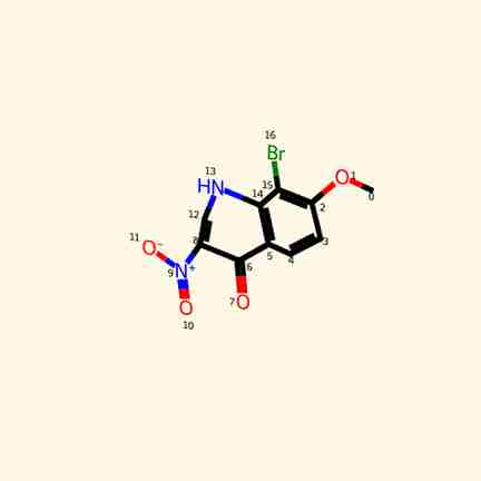 COc1ccc2c(=O)c([N+](=O)[O-])c[nH]c2c1Br